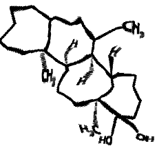 CC1CC2CCCC[C@]2(C)[C@@H]2CC[C@@]3(C)[C@@H](CCC3(O)O)[C@H]12